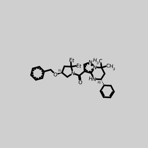 CCC1(CC)C[C@H](OCc2ccccc2)CN1C(=O)c1cnn2c1N[C@@H](C1C=CC=CC1)CC2(C)C